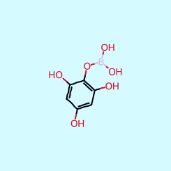 OB(O)Oc1c(O)cc(O)cc1O